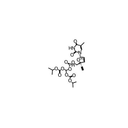 C#C[C@@]1(CO[PH](=O)OC(OC(=O)OC(C)C)OC(=O)OC(C)C)C=C[C@H](n2cc(C)c(=O)[nH]c2=O)O1